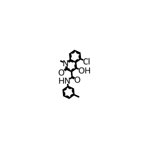 Cc1cccc(NC(=O)c2c(O)c3c(Cl)cccc3n(C)c2=O)c1